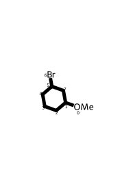 COC1CCC[C](Br)C1